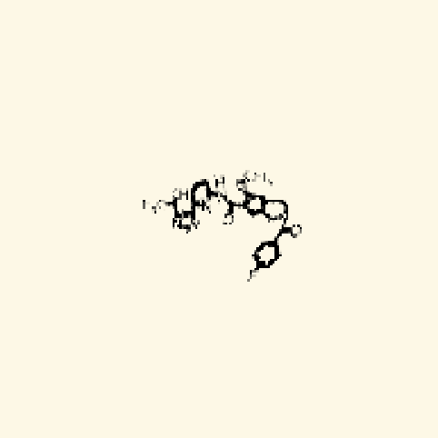 COc1cc2c(cc1C(=O)Nc1cccc(-c3nnnn3C(C)C)n1)CN(C(=O)c1ccc(F)cc1)CC2